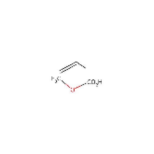 C=CC.O=C(O)OC(F)(F)F